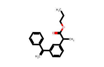 C=C(c1ccccc1)c1cccc(C(C)C(=O)OCCC)c1